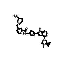 NC1CCCN(Cc2ccnc(C(=O)Nc3ccc(-c4cc5c(N6CCNC7(CC7)C6)ncnc5[nH]4)cc3)c2)C1